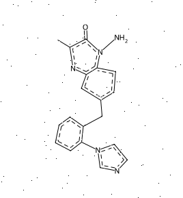 Cc1nc2cc(Cc3ccccc3-n3ccnc3)ccc2n(N)c1=O